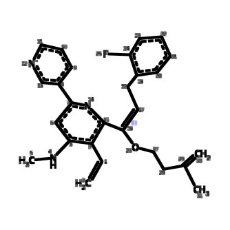 C=Cc1c(NC)cc(-c2cccnc2)nc1/C(=C\Cc1ccccc1F)OCCC(=C)C